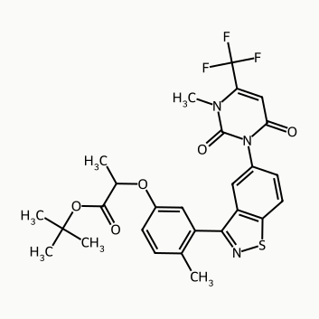 Cc1ccc(OC(C)C(=O)OC(C)(C)C)cc1-c1nsc2ccc(-n3c(=O)cc(C(F)(F)F)n(C)c3=O)cc12